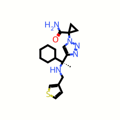 C[C@@](NCc1ccsc1)(c1cn(C2(C(N)=O)CC2)nn1)C1CCCCC1